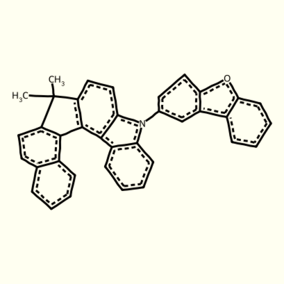 CC1(C)c2ccc3ccccc3c2-c2c1ccc1c2c2ccccc2n1-c1ccc2oc3ccccc3c2c1